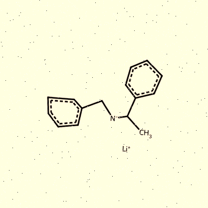 CC([N-]Cc1ccccc1)c1ccccc1.[Li+]